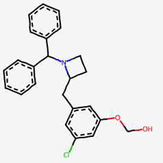 OCOc1cc(Cl)cc(CC2CCN2C(c2ccccc2)c2ccccc2)c1